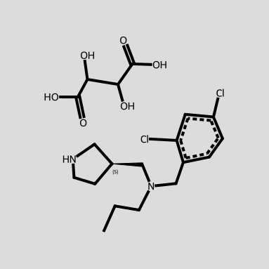 CCCN(Cc1ccc(Cl)cc1Cl)C[C@H]1CCNC1.O=C(O)C(O)C(O)C(=O)O